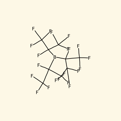 FC(F)(F)C(F)(B(C(F)(C(F)(F)F)C(F)(F)F)C(F)(C(F)(F)F)C(F)(F)F)C(F)(F)F